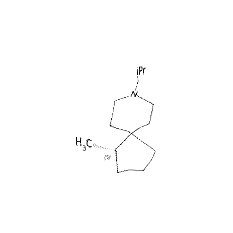 CC(C)N1CCC2(CCC[C@@H]2C)CC1